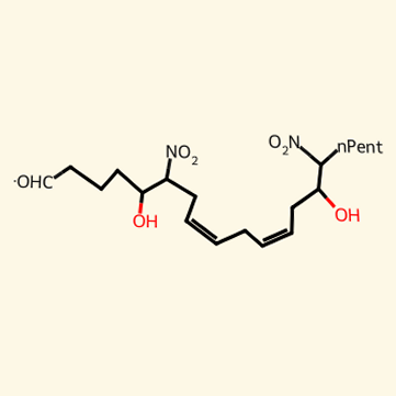 CCCCCC(C(O)C/C=C\C/C=C\CC(C(O)CCC[C]=O)[N+](=O)[O-])[N+](=O)[O-]